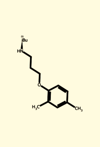 CC[C@H](C)NCCCOc1ccc(C)cc1C